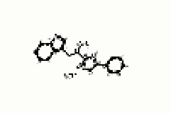 Cl.N[C@H](Cc1csc2ccccc12)c1nc(-c2ccccc2)c[nH]1